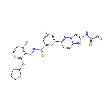 CC(=O)Nc1cn2nc(-c3cncc(C(=O)NCc4c(F)cccc4OC4CCCC4)c3)ccc2n1